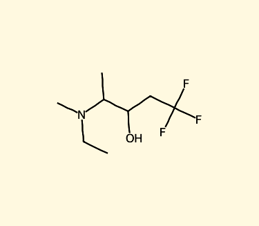 CCN(C)C(C)C(O)CC(F)(F)F